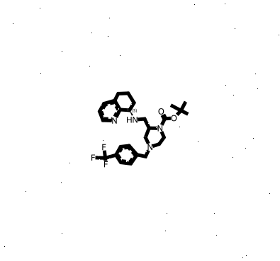 CC(C)(C)OC(=O)N1CCN(Cc2ccc(C(F)(F)F)cc2)CC1CN[C@H]1CCCc2cccnc21